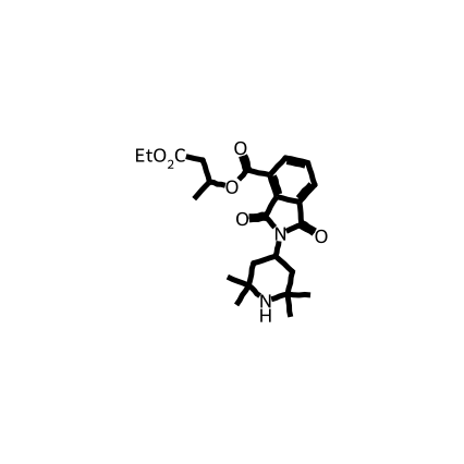 CCOC(=O)CC(C)OC(=O)c1cccc2c1C(=O)N(C1CC(C)(C)NC(C)(C)C1)C2=O